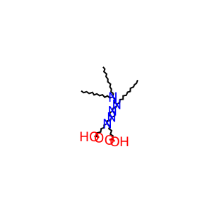 CCCCCCCCCCCCN(CCCCCCCCCCCC)CCN(CCCCCCCCCCCC)CCN1CCN(CCN(CCCCCC(=O)O)CCCCCC(=O)O)CC1